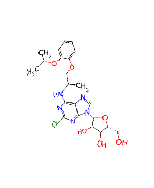 CC(C)Oc1ccccc1OC[C@@H](C)Nc1nc(Cl)nc2c1ncn2[C@@H]1O[C@H](CO)C(O)C1O